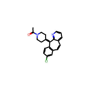 CC(=O)N1CCC(=C2c3ccc(Cl)cc3C=Cc3cccnc32)CC1